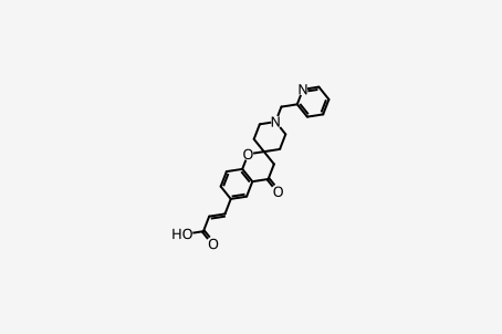 O=C(O)C=Cc1ccc2c(c1)C(=O)CC1(CCN(Cc3ccccn3)CC1)O2